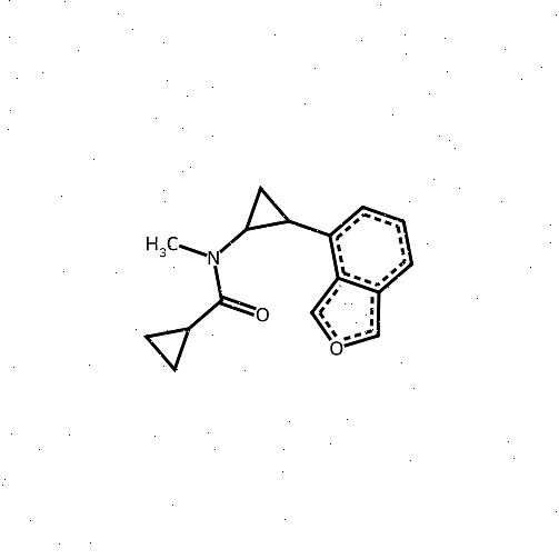 CN(C(=O)C1CC1)C1CC1c1cccc2cocc12